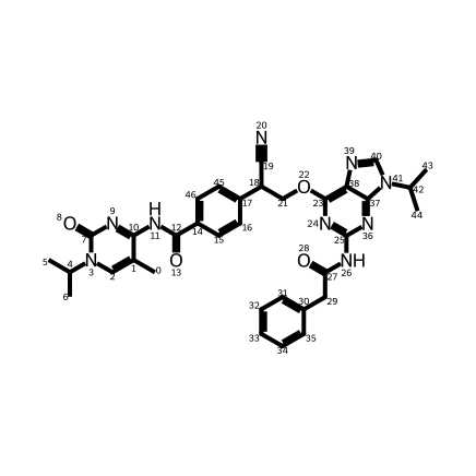 Cc1cn(C(C)C)c(=O)nc1NC(=O)c1ccc(C(C#N)COc2nc(NC(=O)Cc3ccccc3)nc3c2ncn3C(C)C)cc1